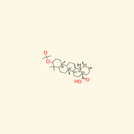 C[C@H]1[C@H](C)CC[C@]2(C(=O)O)CC[C@]3(C)C(=CCC4[C@@]5(C)CCC(OC(C)(C)[O])C(C)(C)C5CC[C@]43C)[C@H]12